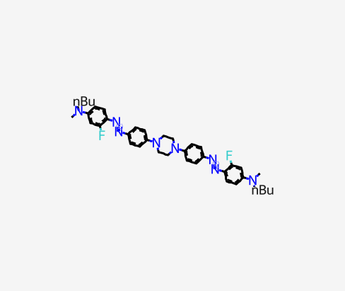 CCCCN(C)c1ccc(/N=N/c2ccc(N3CCN(c4ccc(/N=N/c5ccc(N(C)CCCC)cc5F)cc4)CC3)cc2)c(F)c1